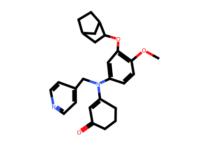 COc1ccc(N(Cc2ccncc2)C2=CC(=O)CCC2)cc1OC1CC2CCC1C2